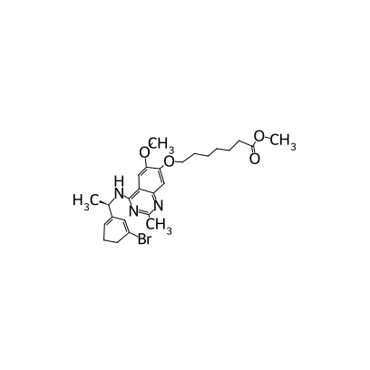 COC(=O)CCCCCCOc1cc2nc(C)nc(N[C@H](C)C3=CCCC(Br)=C3)c2cc1OC